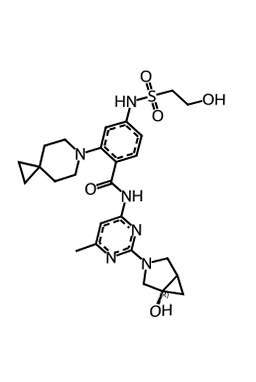 Cc1cc(NC(=O)c2ccc(NS(=O)(=O)CCO)cc2N2CCC3(CC2)CC3)nc(N2CC3C[C@]3(O)C2)n1